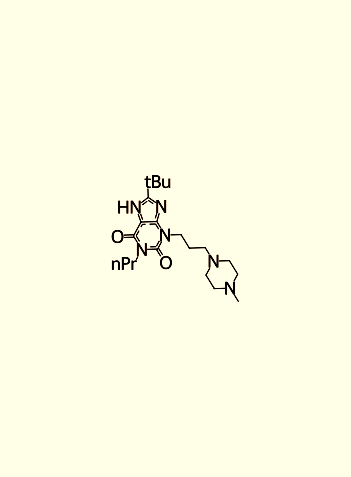 CCCn1c(=O)c2[nH]c(C(C)(C)C)nc2n(CCCN2CCN(C)CC2)c1=O